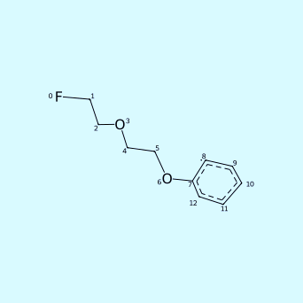 FCCOCCOc1[c]cccc1